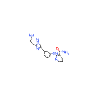 N=C/C=C\c1nc(-c2cccc(Nc3ncccc3C(N)=O)c2)c[nH]1